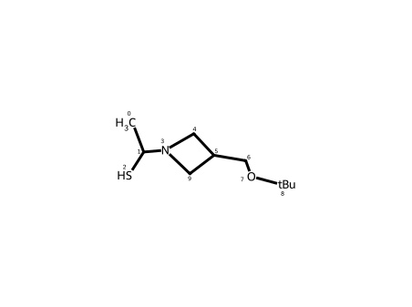 CC(S)N1CC(COC(C)(C)C)C1